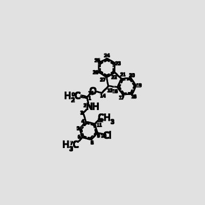 C=C(NCc1cc(C)cc(Cl)c1C)OCC1c2ccccc2-c2ccccc21